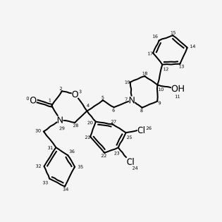 O=C1COC(CCN2CCC(O)(c3ccccc3)CC2)(c2ccc(Cl)c(Cl)c2)CN1Cc1ccccc1